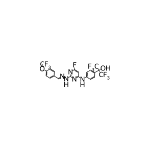 OC(c1ccc(Nc2cc(F)nc(NN=Cc3ccc(OC(F)(F)F)cc3)n2)cc1)(C(F)(F)F)C(F)(F)F